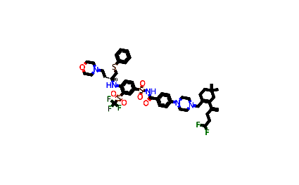 C=C(CCC(F)F)C1=C(CN2CCN(c3ccc(C(=O)NS(=O)(=O)c4ccc(N[C@H](CCN5CCOCC5)CSc5ccccc5)c(S(=O)(=O)C(F)(F)F)c4)cc3)CC2)CCC(C)(C)C1